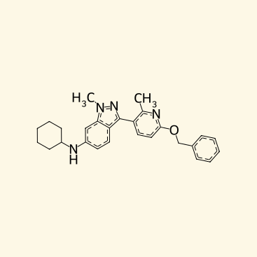 Cc1nc(OCc2ccccc2)ccc1-c1nn(C)c2cc(NC3CCCCC3)ccc12